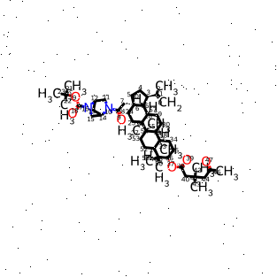 C=C(C)[C@@H]1CC[C@]2(CC(=O)N3CC4CC3CN4C(=O)OC(C)(C)C)CC[C@]3(C)[C@H](CC[C@@H]4[C@@]5(C)CC[C@H](OC(=O)CC(C)(C)CC(C)=O)C(C)(C)[C@@H]5CC[C@]43C)[C@@H]12